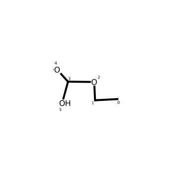 CCOC([O])O